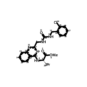 COC(=O)[C@@H](Nc1nc(CNC(=O)NCc2ccccc2Cl)nc2ccccc12)C(C)C